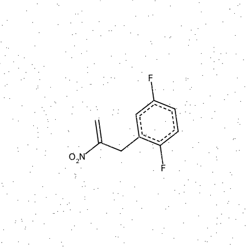 C=C(Cc1cc(F)ccc1F)[N+](=O)[O-]